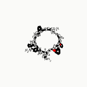 CCCC[C@H]1C(=O)N(C)CC(=O)N[C@@H](CC(=O)O)C(=O)N[C@@H](C(C)C)C(=O)N(C)[C@@H](Cc2ccccc2)C(=O)N[C@@H](CN)C(=O)N(C)CC(=O)NC[C@@H](Cc2c[nH]c3ccccc23)C(=O)N[C@H](Cc2ccc(CN)cc2)C(=O)N[C@@H](CC(C)C)C(=O)N[C@H](C(=O)NCC(N)=O)CSCC(=O)N[C@@H](Cc2ccccc2)C(=O)N(C)[C@@H](Cc2ccccc2)C(=O)N1C